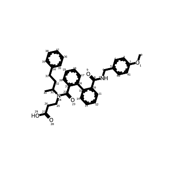 COc1ccc(CNC(=O)c2ccccc2-c2ccccc2C(=O)N(CCC(=O)O)C(C)CCc2ccccc2)cc1